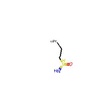 CCCCC[SH](=N)=O